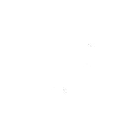 CN(CCOc1ccccc1C1(N)CC1)C(=O)O